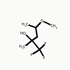 COC(C)CC(C)(O)C(F)(F)F